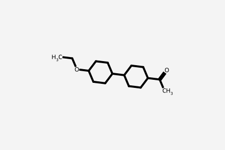 CCOC1CCC(C2CCC(C(C)=O)CC2)CC1